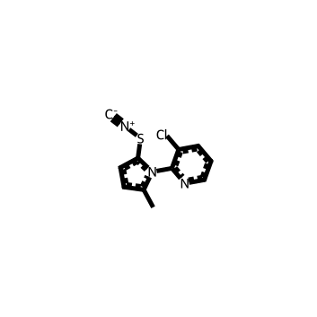 [C-]#[N+]Sc1ccc(C)n1-c1ncccc1Cl